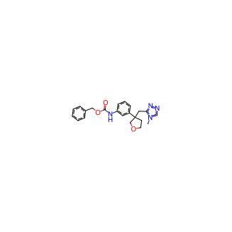 Cn1cnnc1CC1(c2cccc(NC(=O)OCc3ccccc3)c2)CCOC1